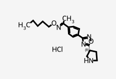 CCCCCON=C(C)c1ccc(-c2noc([C@@H]3CCNC3)n2)cc1.Cl